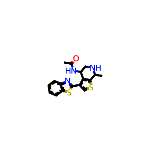 CC(=O)NC1CNC(C)c2scc(-c3nc4ccccc4s3)c21